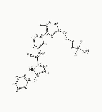 Cc1ccc(OCCCC(C)(C)O)cc1-c1cccc(NC(=O)c2nnc(Cc3cccnc3)[nH]2)c1